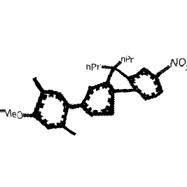 CCCC1(CCC)c2cc(-c3cc(C)c(OC)cc3C)ccc2-c2ccc([N+](=O)[O-])cc21